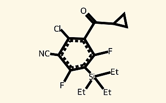 CC[Si](CC)(CC)c1c(F)c(C#N)c(Cl)c(C(=O)C2CC2)c1F